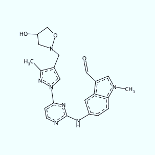 Cc1nn(-c2ccnc(Nc3ccc4c(c3)c(C=O)cn4C)n2)cc1CN1CC(O)CO1